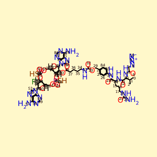 CC(C)[C@H](NC(=O)CN=[N+]=[N-])C(=O)N[C@@H](CCCNC(N)=O)C(=O)Nc1ccc(COC(=O)NCCCCC(=O)O[C@@H]2[C@@H]3O[P@](=O)(S)OC[C@H]4O[C@@H](n5cnc6c(N)ncnc65)[C@H](F)[C@@H]4O[P@](=O)(S)OC[C@H]3O[C@H]2n2cnc3c(N)ncnc32)cc1